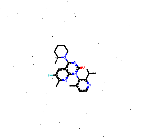 Cc1ccnc(C(C)C)c1-n1c(=O)nc(N2CCCC[C@@H]2C)c2cc(F)c(C)nc21